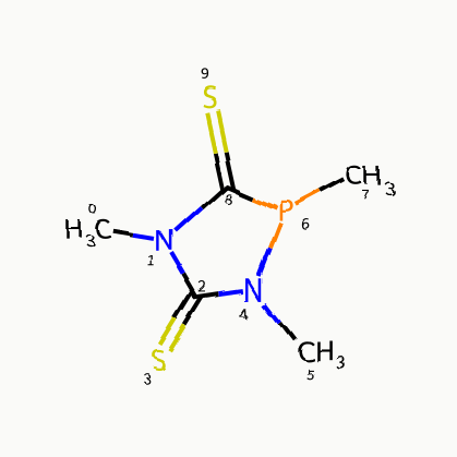 Cn1c(=S)n(C)p(C)c1=S